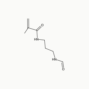 C=C(C)C(=O)NCCCNC=O